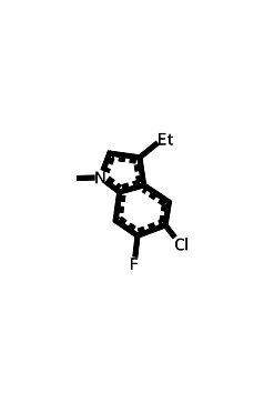 CCc1cn(C)c2cc(F)c(Cl)cc12